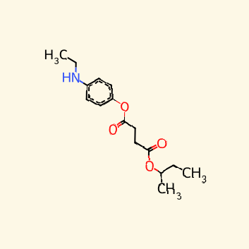 CCNc1ccc(OC(=O)CCC(=O)OC(C)CC)cc1